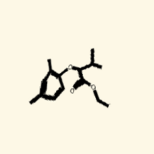 CCOC(=O)C(Oc1ccc(C)cc1C)C(C)C